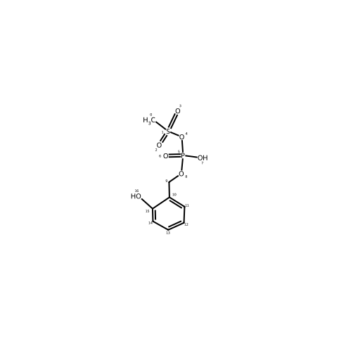 CS(=O)(=O)OP(=O)(O)OCc1ccccc1O